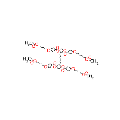 C=CC(=O)OCCCCCCOc1ccc(C(=O)Oc2ccc(OC(=O)c3ccc(OCCCCCCOC(=O)C=C)cc3)c(CCCCCCc3cc(OC(=O)c4ccc(OCCCCCCOC(=O)C=C)cc4)ccc3OC(=O)c3ccc(OCCCCCCOC(=O)C=C)cc3)c2)cc1